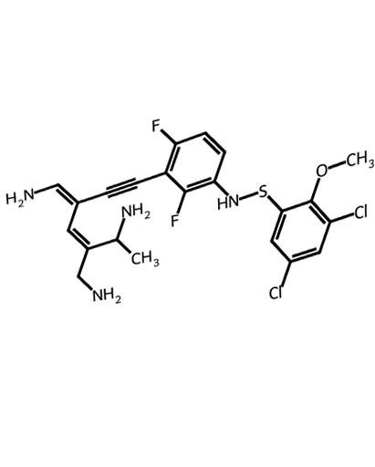 COc1c(Cl)cc(Cl)cc1SNc1ccc(F)c(C#CC(/C=C(/CN)C(C)N)=C/N)c1F